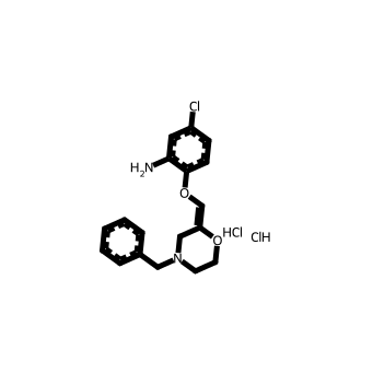 Cl.Cl.Nc1cc(Cl)ccc1OC=C1CN(Cc2ccccc2)CCO1